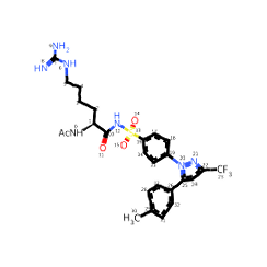 CC(=O)N[C@@H](CCCCNC(=N)N)C(=O)NS(=O)(=O)c1ccc(-n2nc(C(F)(F)F)cc2-c2ccc(C)cc2)cc1